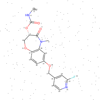 CN1C(=O)[C@@H](OC(=O)NC(C)(C)C)COc2ccc(OCc3ccnc(F)c3)cc21